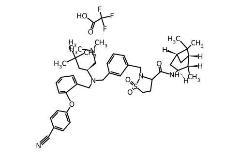 C[C@@H]1[C@@H](NC(=O)C2CCS(=O)(=O)N2Cc2cccc(CN(Cc3ccccc3Oc3ccc(C#N)cc3)[C@H](CN(C)C)CC(C)(C)C)c2)C[C@H]2C[C@@H]1C2(C)C.O=C(O)C(F)(F)F